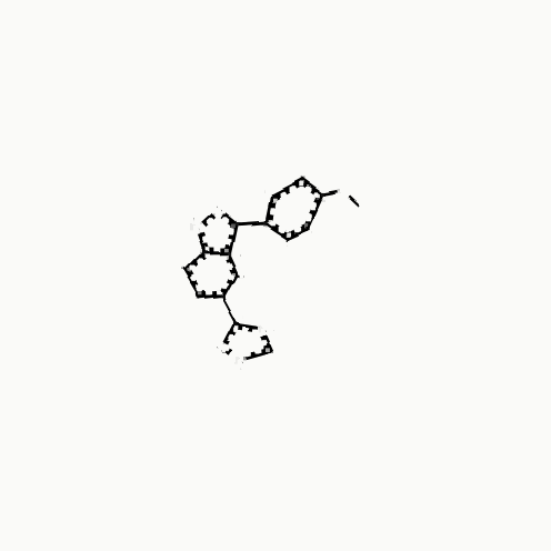 FC(F)(F)Oc1ccc(-c2n[nH]c3ccc(-c4nc[nH]n4)cc23)cc1